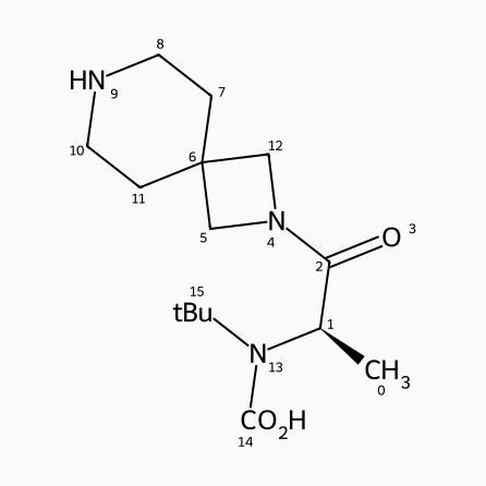 C[C@H](C(=O)N1CC2(CCNCC2)C1)N(C(=O)O)C(C)(C)C